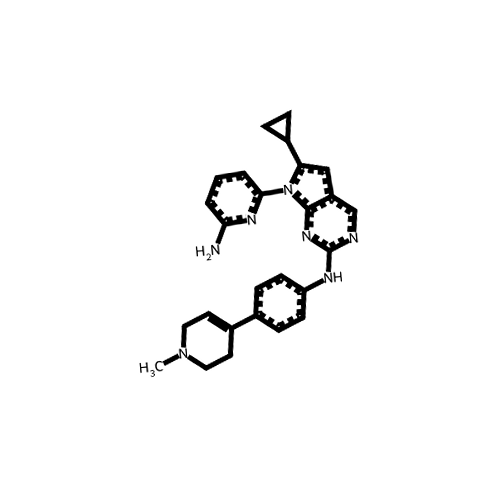 CN1CC=C(c2ccc(Nc3ncc4cc(C5CC5)n(-c5cccc(N)n5)c4n3)cc2)CC1